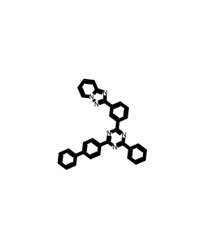 c1ccc(-c2ccc(-c3nc(-c4ccccc4)nc(-c4cccc(-c5nc6ccccn6n5)c4)n3)cc2)cc1